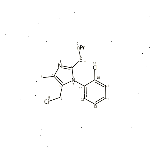 CCCSc1nc(C)c(CCl)n1-c1ccccc1Cl